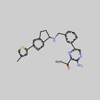 CNC(=O)c1nc(-c2cccc(CNC3CCc4cc(-c5cc(C)cs5)ccc43)c2)cnc1N